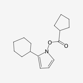 O=C(On1cccc1C1CCCCC1)C1CCCC1